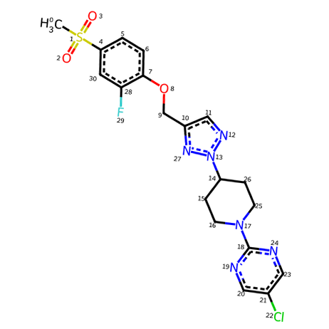 CS(=O)(=O)c1ccc(OCc2cnn(C3CCN(c4ncc(Cl)cn4)CC3)n2)c(F)c1